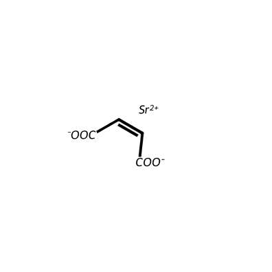 O=C([O-])/C=C\C(=O)[O-].[Sr+2]